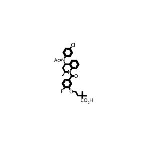 CC(=O)N(c1ccc(Cl)cc1)[C@@H]1C[C@H](C)N(C(=O)c2ccc(F)c(OCCC(C)(C)C(=O)O)c2)c2ccccc21